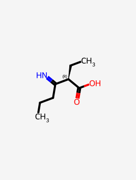 CCCC(=N)[C@@H](CC)C(=O)O